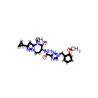 COc1ccccc1Cn1cnc(C(=O)N[C@H]2CCn3nc(C4CC4)cc3N(C)C2=O)n1